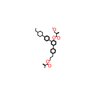 C=C(C)C(=O)OCCCc1ccc(-c2ccc(OC(=O)C(=C)COC)c(-c3ccc(C4CCC(CC)CC4)cc3)c2)cc1